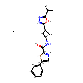 CC(C)c1nnc(C2CC(NC(=O)c3ncc(-c4ccccc4)s3)C2)o1